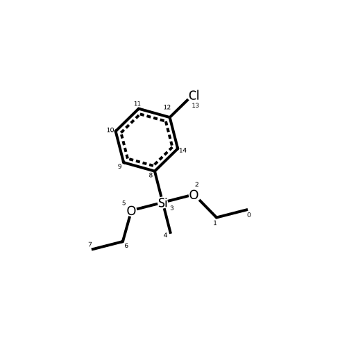 CCO[Si](C)(OCC)c1cccc(Cl)c1